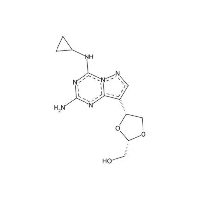 Nc1nc(NC2CC2)n2ncc([C@@H]3CO[C@H](CO)O3)c2n1